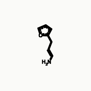 NC=CCc1ccco1